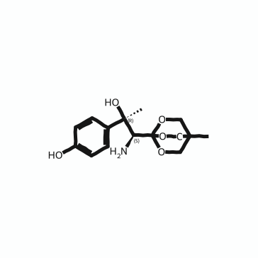 CC12COC([C@@H](N)[C@](C)(O)c3ccc(O)cc3)(OC1)OC2